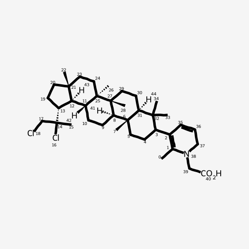 CC1=C(C2CC[C@]3(C)[C@H]4CC[C@@H]5[C@H]6[C@H](C(C)(Cl)CCl)CC[C@]6(C)CC[C@@]5(C)[C@]4(C)CC[C@H]3C2(C)C)C=CCN1CC(=O)O